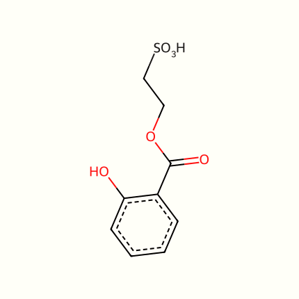 O=C(OCCS(=O)(=O)O)c1ccccc1O